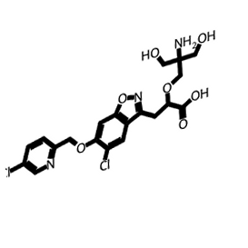 NC(CO)(CO)COC(Cc1noc2cc(OCc3ccc(Cl)cn3)c(Cl)cc12)C(=O)O